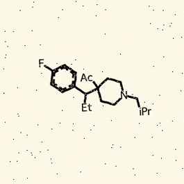 CCC(c1ccc(F)cc1)C1(C(C)=O)CCN(CC(C)C)CC1